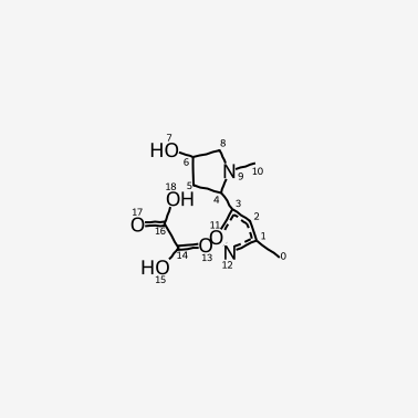 Cc1cc(C2CC(O)CN2C)on1.O=C(O)C(=O)O